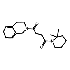 CC1(C)CCCCN1C(=O)CCC(=O)N1CCC2=CCCC=C2C1